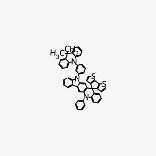 CC1(C)c2ccccc2N(c2cccc(-n3c4ccccc4c4cc5c(cc43)C3(c4ccccc4N5c4ccccc4)c4ccsc4-c4sccc43)c2)c2ccccc21